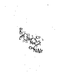 CNC(=O)c1csc2c(C(F)(F)F)cc(N3CCN(C(=O)COC(C)C)CC3)nc12